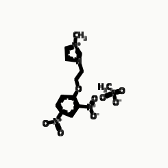 CS(=O)(=O)[O-].C[n+]1ccn(CCOc2ccc([N+](=O)[O-])cc2[N+](=O)[O-])c1